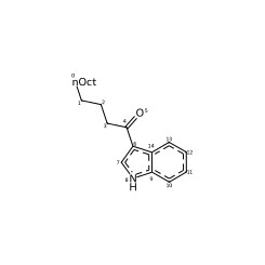 CCCCCCCCCCCC(=O)c1c[nH]c2ccccc12